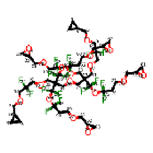 FC(F)(COCC1CC1)COCC(COCC(F)(F)COCC1CO1)(COCC(COCC(F)(F)COCC1CC1)(C(F)(F)OC(F)(F)CCOCC1CO1)C(F)(F)OC(F)(F)CCOCC1CO1)C(F)(F)OC(F)(F)CCOCC1CO1